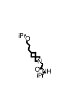 CC(C)NC(=O)CN1CC2(CC(CCCOC(C)C)C2)C1